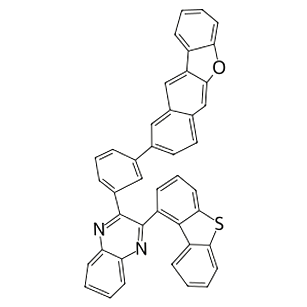 c1cc(-c2ccc3cc4oc5ccccc5c4cc3c2)cc(-c2nc3ccccc3nc2-c2cccc3sc4ccccc4c23)c1